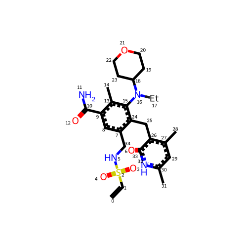 C=CS(=O)(=O)NCc1cc(C(N)=O)c(C)c(N(CC)C2CCOCC2)c1Cc1c(C)cc(C)[nH]c1=O